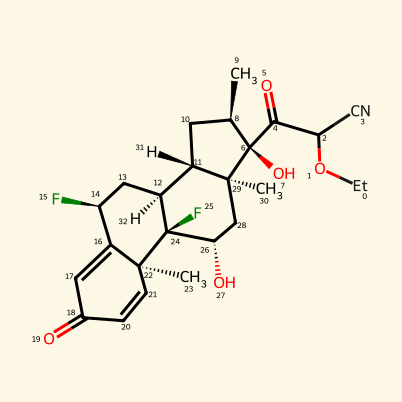 CCOC(C#N)C(=O)[C@@]1(O)[C@H](C)C[C@H]2[C@@H]3C[C@H](F)C4=CC(=O)C=C[C@]4(C)[C@@]3(F)[C@@H](O)C[C@@]21C